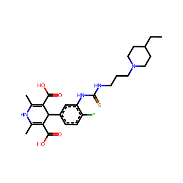 CCC1CCN(CCCNC(=S)Nc2cc(C3C(C(=O)O)=C(C)NC(C)=C3C(=O)O)ccc2F)CC1